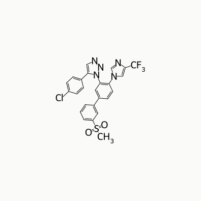 CS(=O)(=O)c1cccc(-c2ccc(-n3cnc(C(F)(F)F)c3)c(-n3nncc3-c3ccc(Cl)cc3)c2)c1